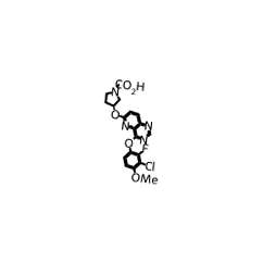 COc1ccc(Oc2ncnc3ccc(O[C@H]4CCN(C(=O)O)C4)nc23)c(F)c1Cl